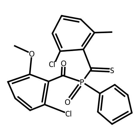 COc1cccc(Cl)c1C(=O)P(=O)(C(=S)c1c(C)cccc1Cl)c1ccccc1